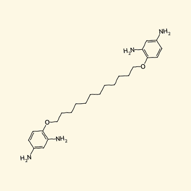 Nc1ccc(OCCCCCCCCCCCCOc2ccc(N)cc2N)c(N)c1